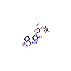 CC[C@H]1O[C@@H](n2ccc(NC(C)c3ccccc3[N+](=O)[O-])nc2=O)C[C@H]1O[Si](C)(C)C(C)(C)C